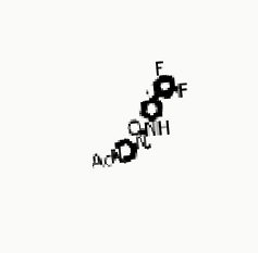 CC(=O)N1CCC(N(C)C(=O)N[C@H]2CC[C@](C)(c3cc(F)cc(F)c3)CC2)CC1